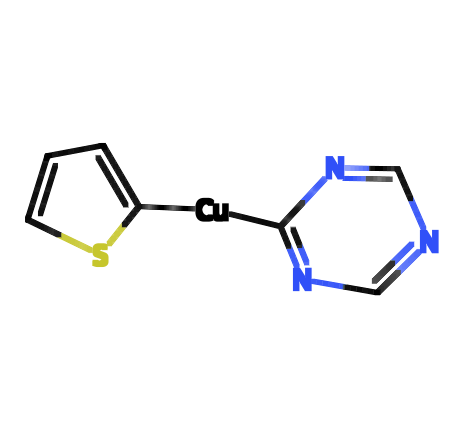 c1cs[c]([Cu][c]2ncncn2)c1